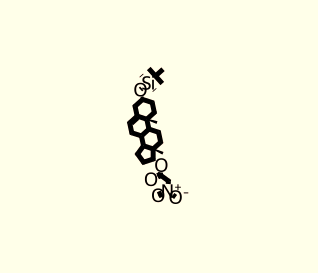 CC(C)(C)[Si](C)(C)O[C@H]1CC[C@@]2(C)C(=CCC3C2CC[C@@]2(C)C3CC[C@H]2OC(=O)C[N+](=O)[O-])C1